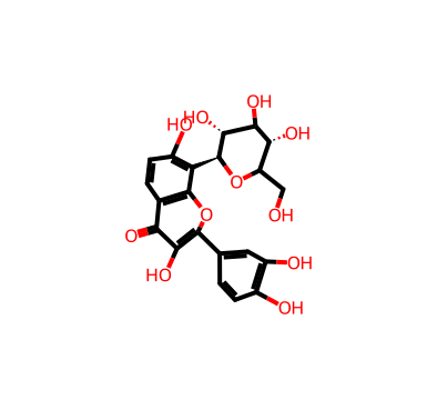 O=c1c(O)c(-c2ccc(O)c(O)c2)oc2c([C@@H]3OC(CO)[C@@H](O)C(O)[C@H]3O)c(O)ccc12